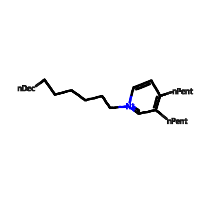 CCCCCCCCCCCCCCCC[n+]1ccc(CCCCC)c(CCCCC)c1